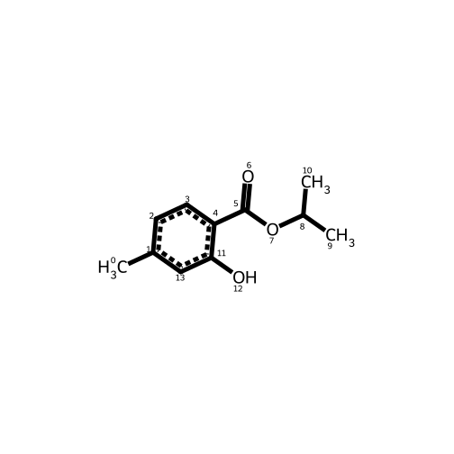 Cc1ccc(C(=O)OC(C)C)c(O)c1